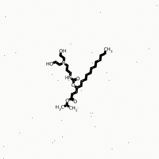 [CH2]C([CH2])OC(=O)CCC(CCCCCCCCCCCC)OC(=O)NCCCN(CCO)CCO